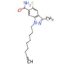 C#CCCCCCCCn1nc(C)c2cc(F)c(C(N)=O)cc21